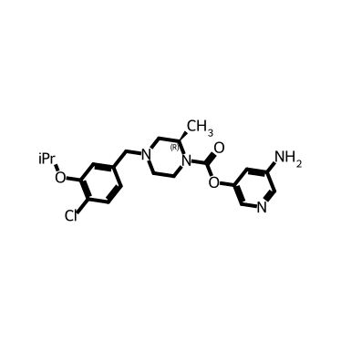 CC(C)Oc1cc(CN2CCN(C(=O)Oc3cncc(N)c3)[C@H](C)C2)ccc1Cl